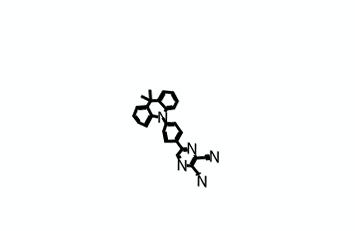 CC1(C)c2ccccc2N(c2ccc(-c3cnc(C#N)c(C#N)n3)cc2)c2ccccc21